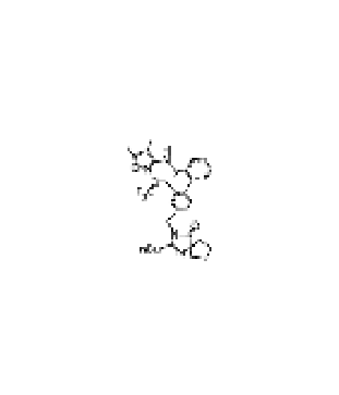 CCCCC1=NC2(CCCC2)C(=O)N1Cc1ccc(-c2ccccc2SNc2noc(C)c2C)c(COC(F)(F)F)c1